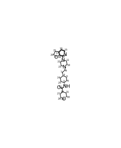 O=C(N[C@H]1CC[C@H](CCN2CCN(c3nccc4c3OCC4)CC2)CC1)C1CCOCC1